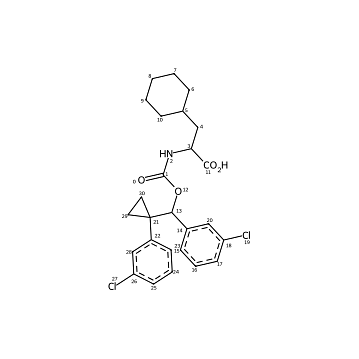 O=C(NC(CC1CCCCC1)C(=O)O)OC(c1cccc(Cl)c1)C1(c2cccc(Cl)c2)CC1